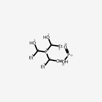 CCC(O)P(C(O)CC)C(O)CC.O=PO